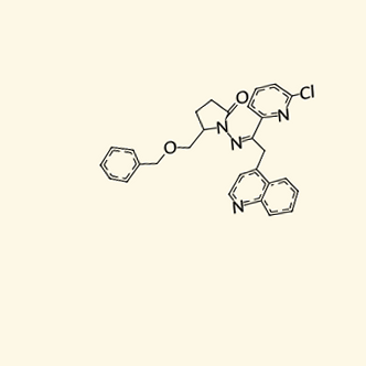 O=C1CCC(COCc2ccccc2)N1N=C(Cc1ccnc2ccccc12)c1cccc(Cl)n1